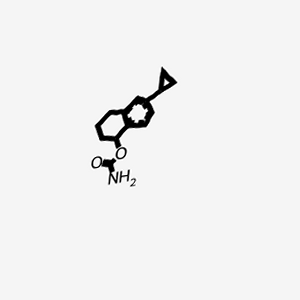 NC(=O)OC1CCCc2cc(C3CC3)ccc21